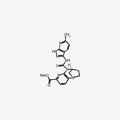 COC(=O)c1ccc2c(n1)N(C(=O)Nc1n[nH]c3nc(C)ccc13)[C@H]1CCN2C1